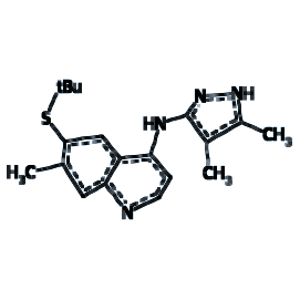 Cc1cc2nccc(Nc3n[nH]c(C)c3C)c2cc1SC(C)(C)C